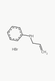 Br.C=CCPc1ccccc1